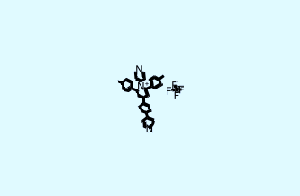 Cc1ccc(-c2cc(-c3ccc(-c4ccncc4)cc3)cc(-c3ccc(C)cc3)[n+]2-c2ccncc2)cc1.F[B-](F)(F)F